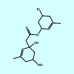 CCCCC1CC(C)=CC(O)(CC(=O)OC2C=C(C)CC(CC)C2)C1